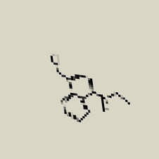 CCNc1ccc(CCl)c2ccccc12